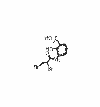 O=C(O)c1cccc(NC(=O)C(Br)CBr)c1O